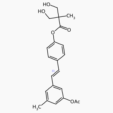 CC(=O)Oc1cc(C)cc(/C=C/c2ccc(OC(=O)C(C)(CO)CO)cc2)c1